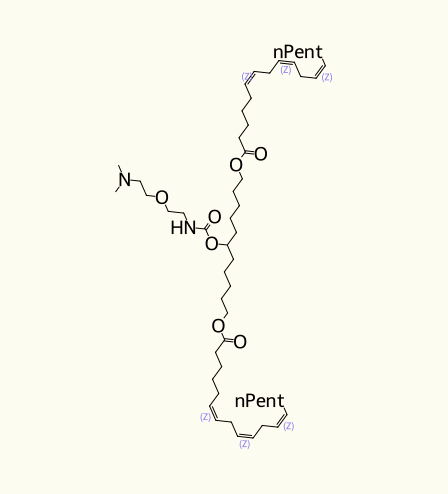 CCCCC/C=C\C/C=C\C/C=C\CCCCC(=O)OCCCCCC(CCCCCOC(=O)CCCC/C=C\C/C=C\C/C=C\CCCCC)OC(=O)NCCOCCN(C)C